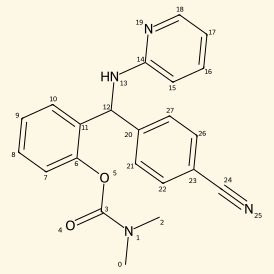 CN(C)C(=O)Oc1ccccc1C(Nc1ccccn1)c1ccc(C#N)cc1